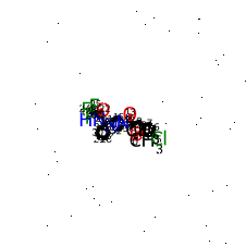 COc1cc(Cl)ccc1CC(C)C(=O)N1CCN(C2(CNC(=O)C(F)(F)F)CCCCC2)CC1